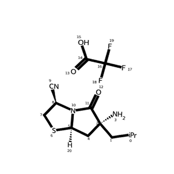 CC(C)C[C@@]1(N)C[C@H]2SC[C@@H](C#N)N2C1=O.O=C(O)C(F)(F)F